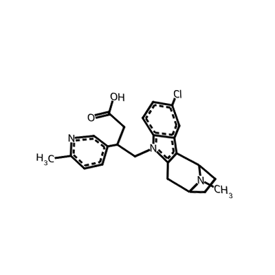 Cc1ccc(C(CC(=O)O)Cn2c3c(c4cc(Cl)ccc42)C2CCC(C3)N2C)cn1